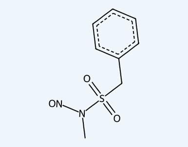 CN(N=O)S(=O)(=O)Cc1ccccc1